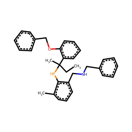 CCC(C)(Pc1c(C)cccc1CNCc1ccccc1)c1ccccc1OCc1ccccc1